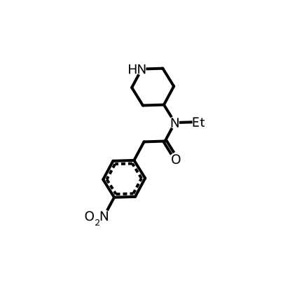 CCN(C(=O)Cc1ccc([N+](=O)[O-])cc1)C1CCNCC1